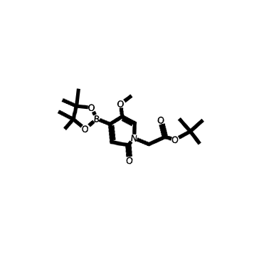 COc1cn(CC(=O)OC(C)(C)C)c(=O)cc1B1OC(C)(C)C(C)(C)O1